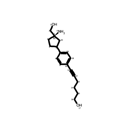 N[C@]1(CO)CCC(c2ccc(C#CCCCCO)cc2)C1